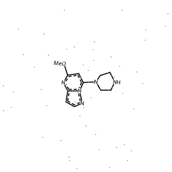 COc1cc(N2CCNCC2)n2nccc2n1